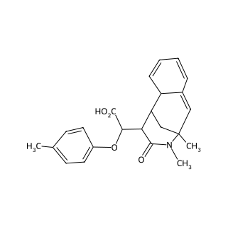 Cc1ccc(OC(C(=O)O)C2C(=O)N(C)C3(C)C=C4C=CC=CC4C2C3)cc1